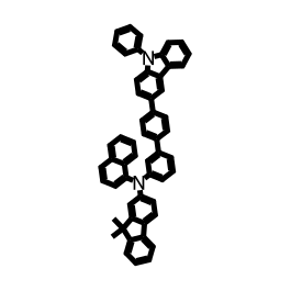 CC1(C)c2ccccc2-c2ccc(N(c3cccc(-c4ccc(-c5ccc6c(c5)c5ccccc5n6-c5ccccc5)cc4)c3)c3cccc4ccccc34)cc21